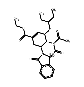 CCOC(=O)C1=C[C@@H](OC(CC)CC)[C@H](N(C(C)=O)C(C)=O)[C@@H](N2C(=O)c3ccccc3C2=O)C1